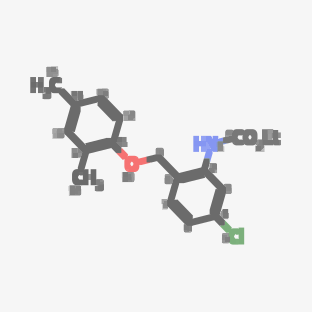 CCOC(=O)Nc1cc(Cl)ccc1COc1ccc(C)cc1C